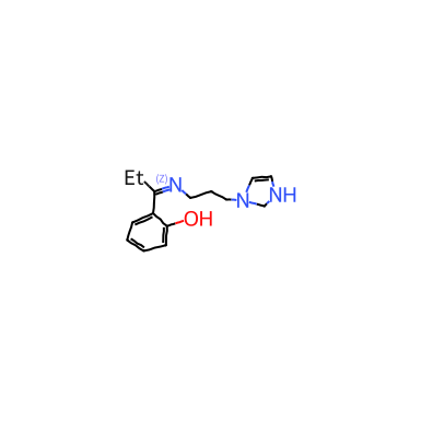 CC/C(=N/CCCN1C=CNC1)c1ccccc1O